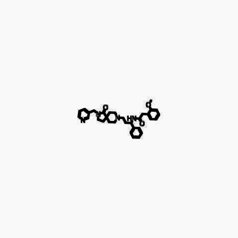 COc1ccccc1CC(=O)NC(CCN1CCC2(CC1)CCN(Cc1cccnc1)C2=O)c1ccccc1